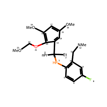 CCCC(CC)(Pc1ccc(F)cc1CNC)c1cc(OC)cc(OC)c1OCOC